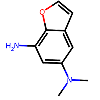 CN(C)c1cc(N)c2occc2c1